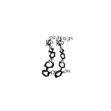 CCOC(=O)c1nnc(N2CC3(CC[C@@H](N4CCC(c5ccccc5O)CC4)C3)C2)o1.CCOC(=O)c1nnc(N2CC3(CC[C@@H](N4CCC(c5ccccc5O)CC4)C3)C2)o1